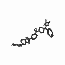 CC(=O)Nc1ccc2oc(-c3cccc(C(=O)N4CCN(C(c5ccccc5)c5n[nH]c(C)n5)CC4)c3)nc2c1